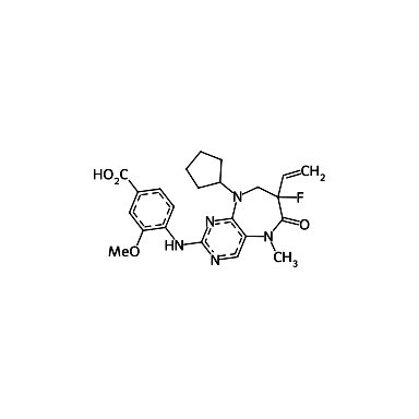 C=CC1(F)CN(C2CCCC2)c2nc(Nc3ccc(C(=O)O)cc3OC)ncc2N(C)C1=O